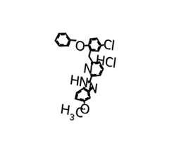 COc1ccc2[nH]c(-c3cccc(Cc4cc(Cl)ccc4OCc4ccccc4)n3)nc2c1.Cl